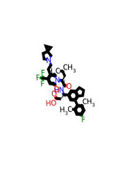 Cc1cc(F)cc(C)c1-c1cc([C@H](CC(=O)O)NC(=O)[C@H](CC(C)C)n2cc(CCN3CCC4(CC4)C3)c(C(F)(F)F)cc2=O)cc2c1CCC2